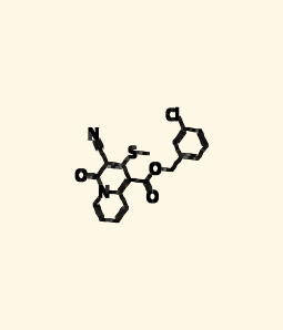 CSc1c(C#N)c(=O)n2ccccc2c1C(=O)OCc1cccc(Cl)c1